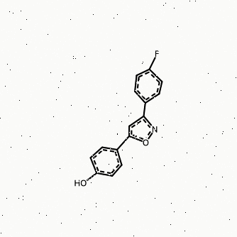 Oc1ccc(-c2cc(-c3ccc(F)cc3)no2)cc1